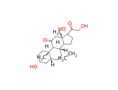 C=C.C[C@]12CC[C@@H](O)C[C@H]1CC[C@@H]1[C@@H]2C(=O)C[C@@]2(C)[C@H]1CC[C@]2(O)C(=O)CO